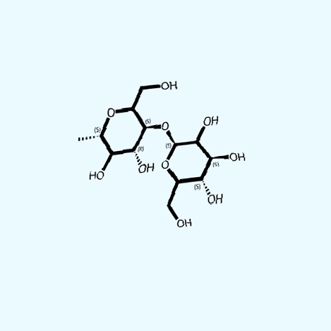 C[C@@H]1OC(CO)[C@@H](O[C@@H]2OC(CO)[C@@H](O)[C@H](O)C2O)[C@H](O)C1O